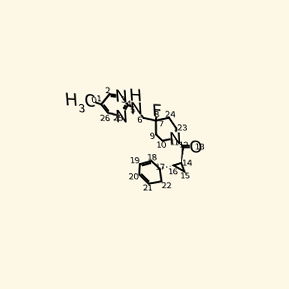 Cc1cnc(NCC2(F)CCN(C(=O)[C@H]3C[C@@H]3C3C=CC=CC3)CC2)nc1